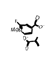 C=C(C)C(=O)[O-].O=C([O-])c1ccnc(F)c1.[Mg+2]